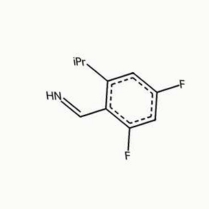 CC(C)c1cc(F)cc(F)c1C=N